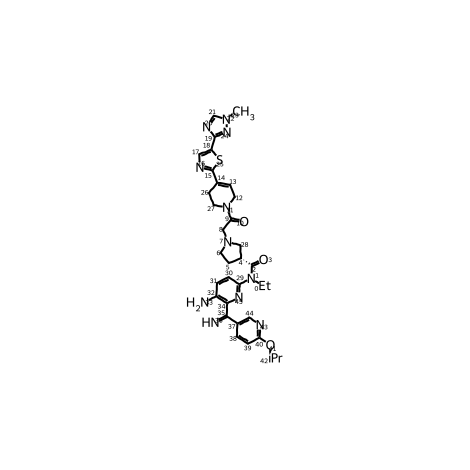 CCN(C(=O)[C@@H]1CCN(CC(=O)N2CC=C(c3ncc(-c4ncn(C)n4)s3)CC2)C1)c1ccc(N)c(C(=N)c2ccc(OC(C)C)nc2)n1